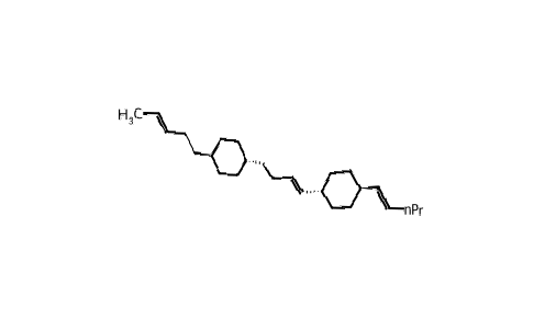 CC=CCC[C@H]1CC[C@H](CCC=C[C@H]2CC[C@H](C=CCCC)CC2)CC1